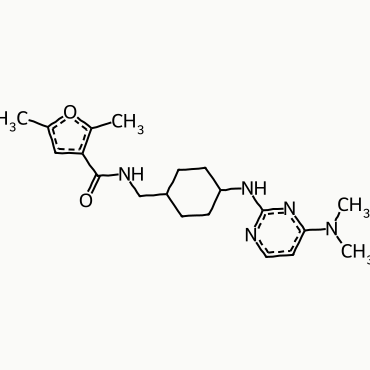 Cc1cc(C(=O)NCC2CCC(Nc3nccc(N(C)C)n3)CC2)c(C)o1